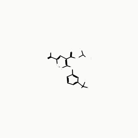 CC(=O)c1cc(C(=O)OC(C)C)c(Oc2cccc(C(F)(F)F)c2)nn1